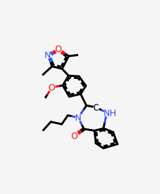 CCCCN1C(=O)c2ccccc2NCC1c1ccc(-c2c(C)noc2C)c(OC)c1